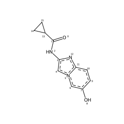 O=C(Nc1cn2cc(O)ccc2n1)C1CC1